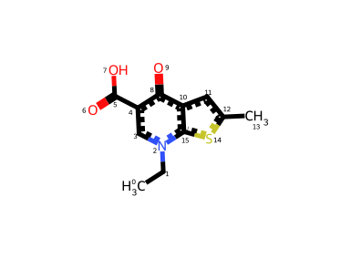 CCn1cc(C(=O)O)c(=O)c2cc(C)sc21